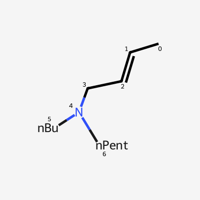 CC=CCN(CCCC)CCCCC